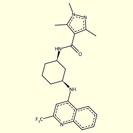 Cc1nn(C)c(C)c1C(=O)N[C@@H]1CCC[C@H](Nc2cc(C(F)(F)F)nc3ccccc23)C1